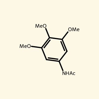 [CH2]C(=O)Nc1cc(OC)c(OC)c(OC)c1